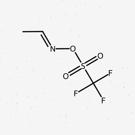 CC=NOS(=O)(=O)C(F)(F)F